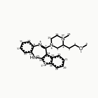 COCCC1CN(C2=Nc3ccccc3Nc3sc4ccccc4c32)CCN1C